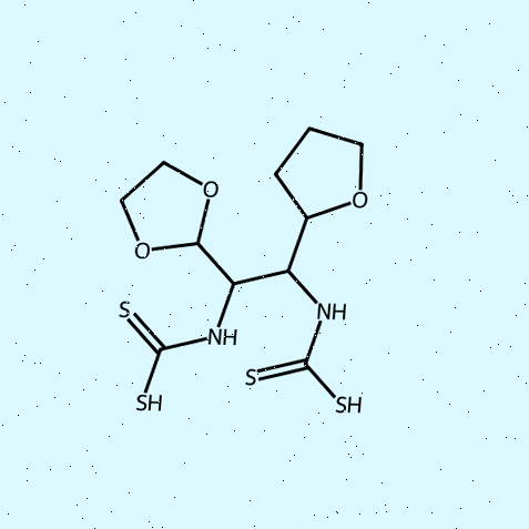 S=C(S)NC(C1CCCO1)C(NC(=S)S)C1OCCO1